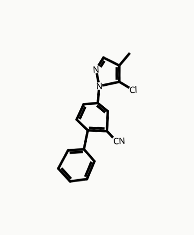 Cc1cnn(-c2ccc(-c3ccccc3)c(C#N)c2)c1Cl